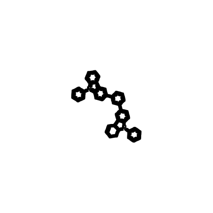 C1=CC2c3cc(-c4cccc(-c5ccc6c(c5)c5ccccc5n6-c5ccccc5)c4)ccc3N(c3ccccc3)C2CC1